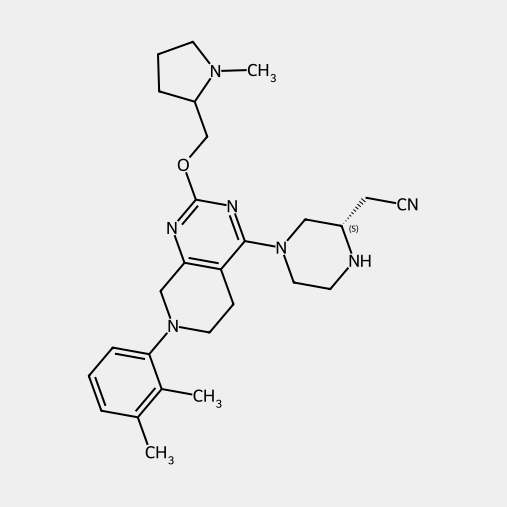 Cc1cccc(N2CCc3c(nc(OCC4CCCN4C)nc3N3CCN[C@@H](CC#N)C3)C2)c1C